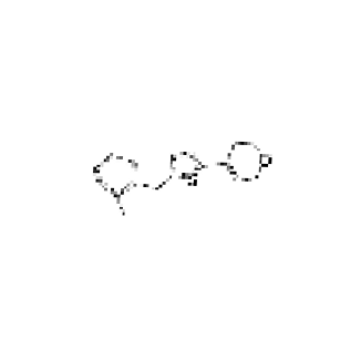 Cc1ccccc1Cc1ccc(C2=CCOCC2)s1